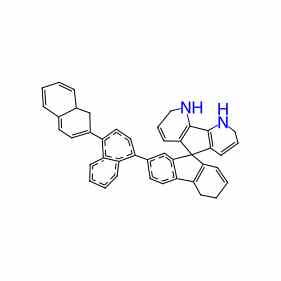 C1=CC2=CC=C(c3ccc(-c4ccc5c(c4)C4(C6=C(NCC=C6)C6=C4C=CCN6)C4=C5CCC=C4)c4ccccc34)CC2C=C1